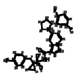 O=C(NS(=O)(=O)C1(Cc2ccc(F)cc2)CC1)c1cnn2ccc(N3CCC[C@@H]3c3cc(F)ccc3F)cc12